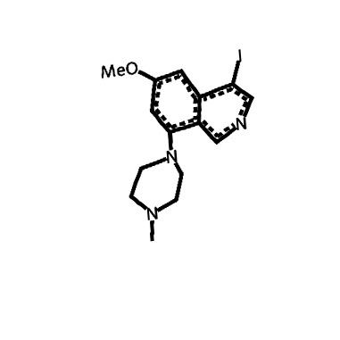 COc1cc(N2CCN(C)CC2)c2cncc(I)c2c1